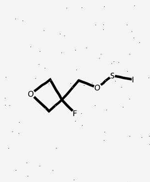 FC1(COSI)COC1